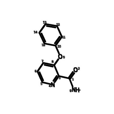 [NH]C(=O)c1ncccc1Oc1ccccc1